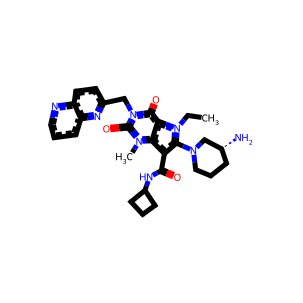 CCn1c(N2CCC[C@@H](N)C2)c(C(=O)NC2CCC2)c2c1c(=O)n(Cc1ccc3ncccc3n1)c(=O)n2C